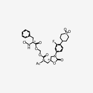 CC(=O)N(C[C@H]1CN(c2ccc(C3CCS(=O)(=O)CC3)c(F)c2)C(=O)O1)C(=O)OCOC(=O)[C@H](Cc1ccccc1)NCl